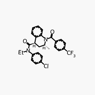 CCN(C(=O)[C@@H]1C[C@@H](C)N(C(=O)c2ccc(C(F)(F)F)cc2)c2ccccc21)c1ccc(Cl)cc1